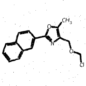 Cc1oc(-c2ccc3ccccc3c2)nc1COCCl